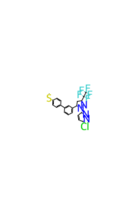 CSc1ccc(-c2cccc(C3CC(C(F)(F)C(F)(F)F)=NN3c3ccc(Cl)nn3)c2)cc1